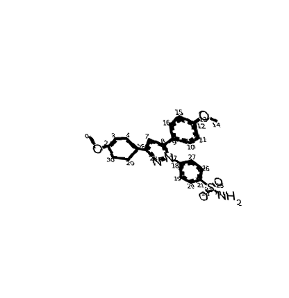 COC1=CC=C(c2cc(-c3ccc(OC)cc3)n(-c3ccc(S(N)(=O)=O)cc3)n2)CC1